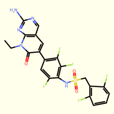 CCn1c(=O)c(-c2cc(F)c(NS(=O)(=O)Cc3c(F)cccc3F)c(F)c2F)cc2cnc(N)nc21